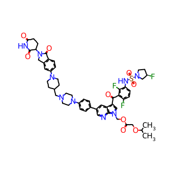 CC(C)OCC(=O)OCn1cc(C(=O)c2c(F)ccc(NS(=O)(=O)N3CC[C@@H](F)C3)c2F)c2cc(-c3ccc(N4CCN(CC5CCN(c6ccc7c(c6)CN(C6CCC(=O)NC6=O)C7=O)CC5)CC4)cc3)cnc21